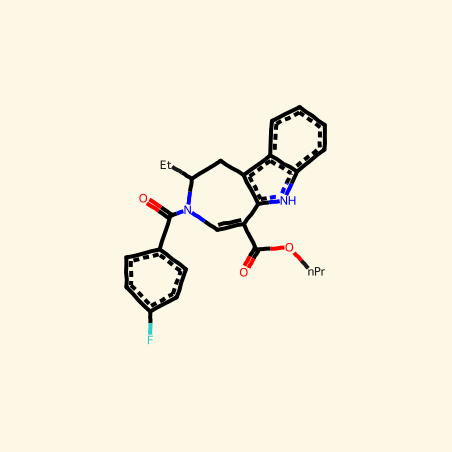 CCCOC(=O)C1=CN(C(=O)c2ccc(F)cc2)C(CC)Cc2c1[nH]c1ccccc21